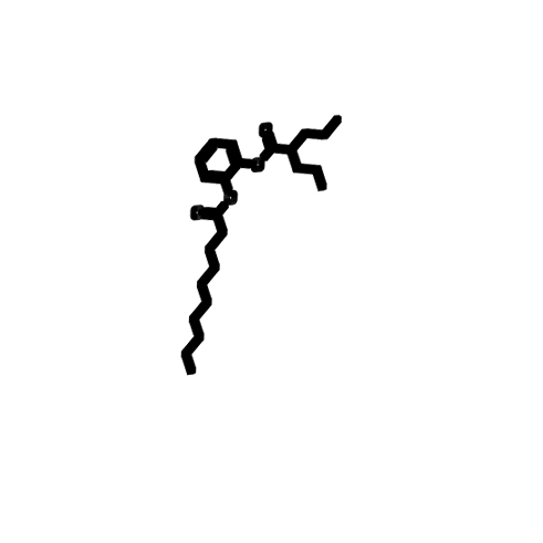 CCCCCCCCCC(=O)Oc1ccccc1OC(=O)C(CCC)CCC